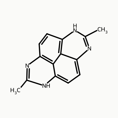 CC1=Nc2ccc3c4c(ccc(c24)N1)N=C(C)N3